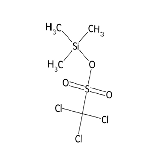 C[Si](C)(C)OS(=O)(=O)C(Cl)(Cl)Cl